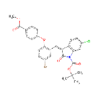 COC(=O)c1ccc(Oc2ccc(Br)cc2C=C2C(=O)N(C(=O)OC(C)(C)C)c3cc(Cl)ccc32)cc1